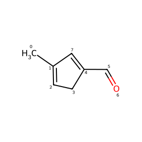 CC1=CCC(C=O)=C1